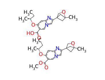 CC[C@H](C)Oc1cc2nc(C34COC(C)(C3)C4)cn2cc1C(=O)O.CC[C@H](C)Oc1cc2nc(C34COC(C)(C3)C4)cn2cc1C(=O)OC